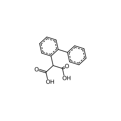 O=C(O)C(C(=O)O)c1ccccc1-c1ccccc1